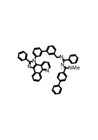 CN/C(=N\C(=N/Cc1cccc(-c2cccc(-n3c(-c4ccccc4)nc4c5ccccc5c5ncccc5c43)c2)c1)c1ccccc1)c1ccc(-c2ccccc2)cc1